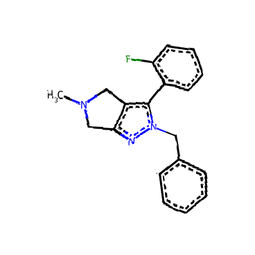 CN1Cc2nn(Cc3[c]cccc3)c(-c3ccccc3F)c2C1